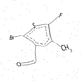 Cc1c(F)sc(Br)c1C=O